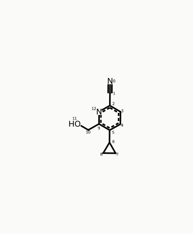 N#Cc1ccc(C2CC2)c(CO)n1